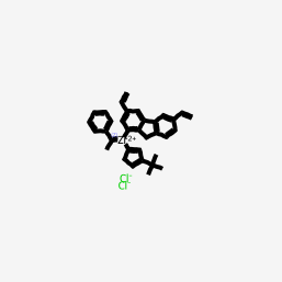 C=Cc1ccc2c(c1)-c1cc(C=C)c[c](/[Zr+2]([C]3=CC(C(C)(C)C)=CC3)=[C](/C)c3ccccc3)c1C2.[Cl-].[Cl-]